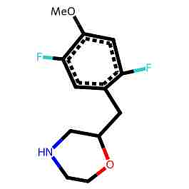 COc1cc(F)c(CC2CNCCO2)cc1F